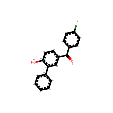 O=C(c1ccc(F)cc1)c1ccc(O)c(-c2ccccc2)c1